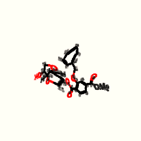 COC(=O)c1ccc(C(=O)O[C@@H]2CO[C@H]3[C@@H]2OC[C@@H]3O)c(OCc2ccccc2)c1